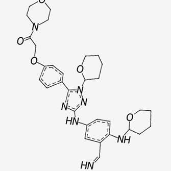 N=Cc1cc(Nc2nc(-c3ccc(OCC(=O)N4CCOCC4)cc3)n(C3CCCCO3)n2)ccc1NC1CCCCO1